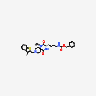 CCCN1C(=O)[C@H](CCCCNC(=O)OCc2ccccc2)NC(=O)C12CCN(Cc1sc3ccccc3c1C)CC2